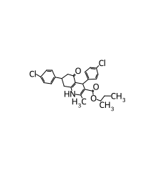 CCC(C)OC(=O)C1=C(C)NC2=C(C(=O)CC(c3ccc(Cl)cc3)C2)C1c1ccc(Cl)cc1